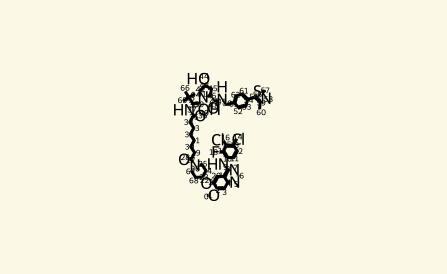 COc1cc2ncnc(Nc3ccc(Cl)c(Cl)c3F)c2cc1OC1CCN(C(=O)CCCCCCC(=O)N[C@H](C(O)N2C[C@H](O)C[C@H]2C(=O)NCc2ccc(-c3scnc3C)cc2)C(C)(C)C)CC1